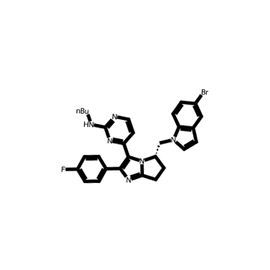 CCCCNc1nccc(-c2c(-c3ccc(F)cc3)nc3n2[C@H](Cn2ccc4cc(Br)ccc42)CC3)n1